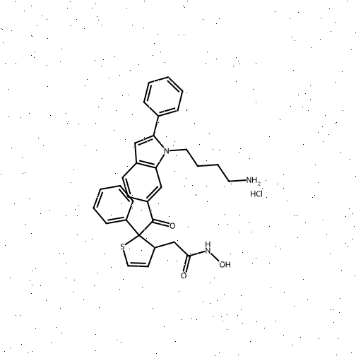 Cl.NCCCCn1c(-c2ccccc2)cc2ccc(C(=O)C3(c4ccccc4)SC=CC3CC(=O)NO)cc21